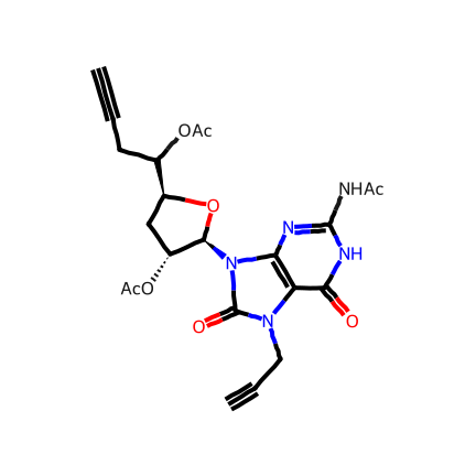 C#CCC(OC(C)=O)[C@@H]1C[C@@H](OC(C)=O)[C@H](n2c(=O)n(CC#C)c3c(=O)[nH]c(NC(C)=O)nc32)O1